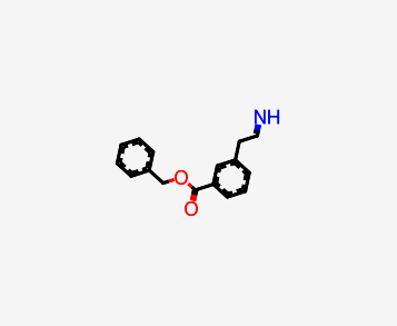 N=CCc1cccc(C(=O)OCc2ccccc2)c1